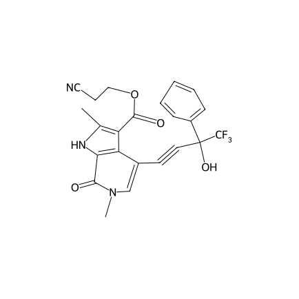 Cc1[nH]c2c(=O)n(C)cc(C#CC(O)(c3ccccc3)C(F)(F)F)c2c1C(=O)OCCC#N